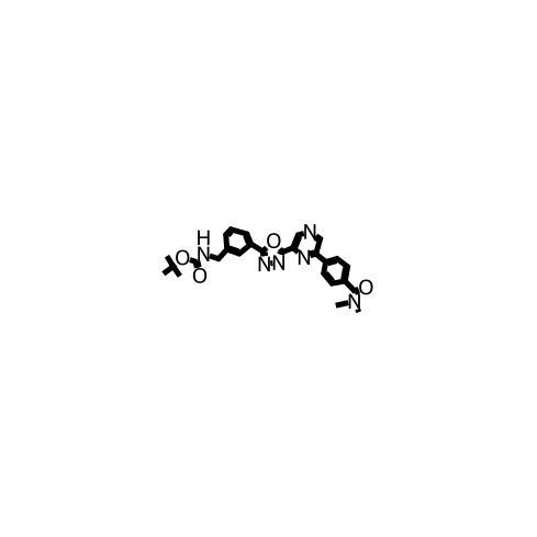 CN(C)C(=O)c1ccc(-c2cncc(-c3nnc(-c4cccc(CNC(=O)OC(C)(C)C)c4)o3)n2)cc1